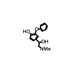 CNCC(O)c1ccc(O)c(Oc2ccccc2)c1